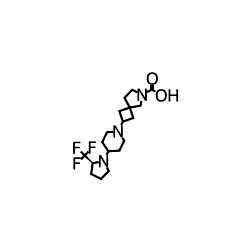 O=C(O)N1CCC2(CC(N3CCC(N4CCC[C@H]4C(F)(F)F)CC3)C2)C1